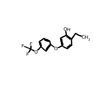 CCc1ccc(Oc2cccc(OC(F)(F)F)c2)cc1O